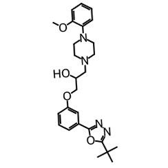 COc1ccccc1N1CCN(CC(O)COc2cccc(-c3nnc(C(C)(C)C)o3)c2)CC1